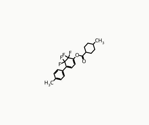 Cc1ccc(C2=CC=C(OC(=O)C3CCC(C)CC3)C(F)(F)C2(F)F)cc1